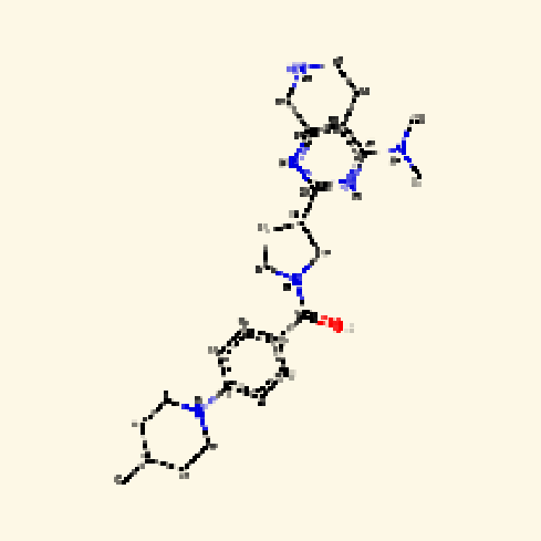 CC1CCN(c2ccc(C(=O)N3CCC(c4nc5c(c(N(C)C)n4)CCNC5)C3)cc2)CC1